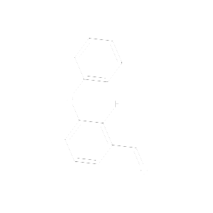 O=Cc1cccc(Oc2ccccc2)c1F